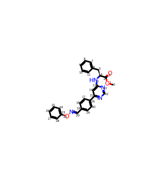 COC(=O)[C@H](Cc1ccccc1)Nc1cc(-c2ccc(C=NOc3ccccc3)cc2)ncn1